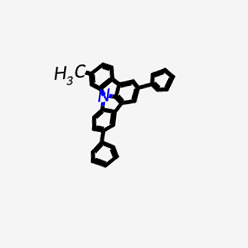 Cc1ccc2c3cc(-c4ccccc4)cc4c5cc(-c6ccccc6)ccc5n(c2c1)c43